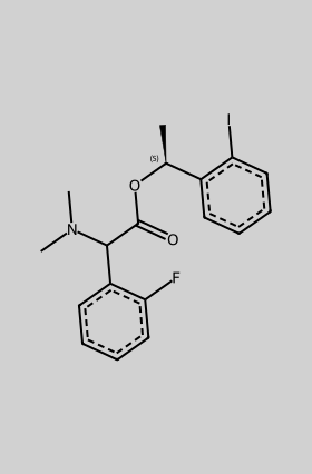 C[C@H](OC(=O)C(c1ccccc1F)N(C)C)c1ccccc1I